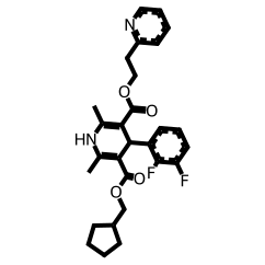 CC1=C(C(=O)OCCc2ccccn2)C(c2cccc(F)c2F)C(C(=O)OCC2CCCC2)=C(C)N1